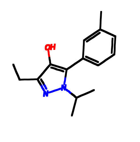 CCc1nn(C(C)C)c(-c2cccc(C)c2)c1O